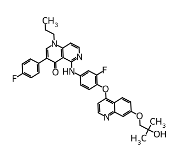 CCCn1cc(-c2ccc(F)cc2)c(=O)c2c(Nc3ccc(Oc4ccnc5cc(OCC(C)(C)O)ccc45)c(F)c3)nccc21